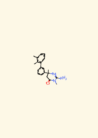 Cc1cccc(-c2cccc(C3(C)CC(=O)N(C)C(N)=N3)c2)c1C